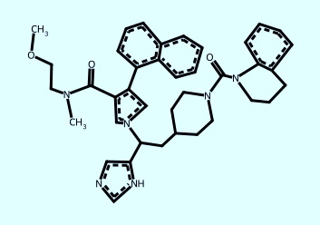 COCCN(C)C(=O)c1cn(C(CC2CCN(C(=O)N3CCCc4ccccc43)CC2)c2cnc[nH]2)cc1-c1cccc2ccccc12